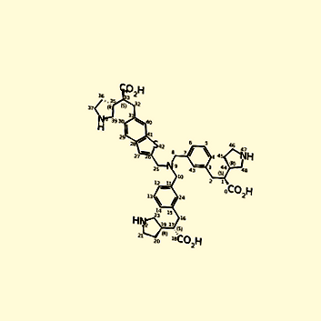 O=C(O)[C@@H](Cc1cccc(CN(Cc2cccc(C[C@H](C(=O)O)[C@H]3CCNC3)c2)Cc2cc3ccc(C[C@H](C(=O)O)[C@H]4CCNC4)cc3s2)c1)[C@H]1CCNC1